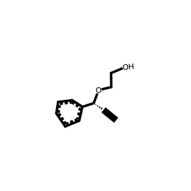 C#C[C@@H](OCCO)c1ccccc1